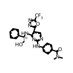 CN(C)C(=O)c1ccc(Nc2ncc(-c3nnc(C(F)(F)F)o3)c(N[C@H](CO)c3ccccc3)n2)cc1